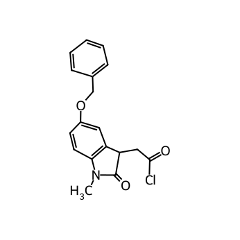 CN1C(=O)C(CC(=O)Cl)c2cc(OCc3ccccc3)ccc21